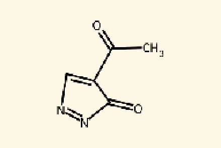 CC(=O)C1=CN=NC1=O